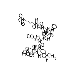 CC[C@@]1(O)C(=O)OCc2c1cc1n(c2=O)C/C=C2/c3c(cc(F)c(C)c3CC[C@@H]2NC(=O)CN(CCNC(=O)CNC(=O)[C@H](Cc2ccccc2)NC(=O)CNC(=O)CNC(=O)CCCCCN2C(=O)C=CC2=O)CC(=O)O)/N=C/1